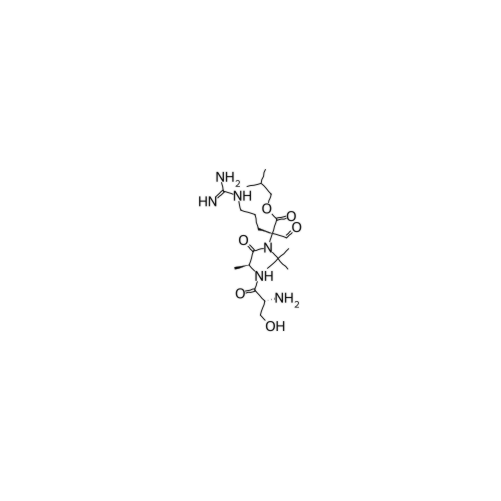 CC(C)COC(=O)[C@@](C=O)(CCCNC(=N)N)N(C(=O)[C@H](C)NC(=O)[C@H](N)CO)C(C)(C)C